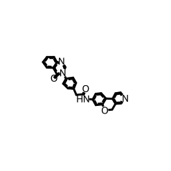 O=C(Cc1ccc(-n2cnc3ccccc3c2=O)cc1)Nc1ccc2c(c1)OCc1cnccc1-2